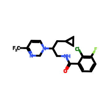 O=C(NCC(CC1CC1)N1C=CC(C(F)(F)F)=NC1)c1cccc(F)c1Cl